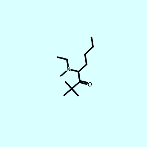 CCCCC(C(=O)C(C)(C)C)N(C)CC